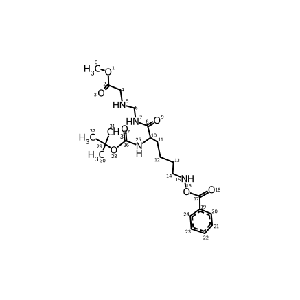 COC(=O)CNCNC(=O)C(CCCCNOC(=O)c1ccccc1)NC(=O)OC(C)(C)C